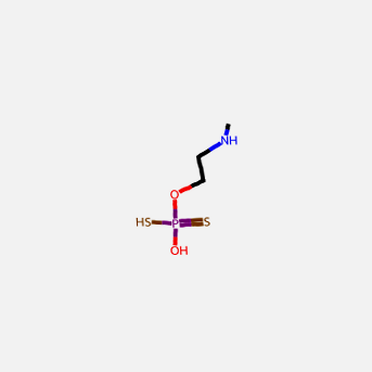 CNCCOP(O)(=S)S